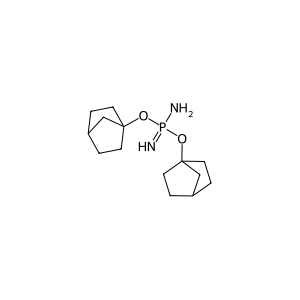 N=P(N)(OC12CCC(CC1)C2)OC12CCC(CC1)C2